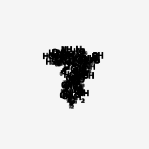 CSCC[C@H](NC(=O)[C@H](CO)NC(=O)[C@H](CCCNC(=N)N)NC(=O)[C@H](CO)NC(=O)[C@H](CCC(=O)O)NC(=O)[C@@H](NC(=O)[C@@H](NC(=O)[C@H](Cc1c[nH]cn1)NC(=O)[C@@H](NC(=O)[C@H](CO)NC(=O)[C@@H](N)CC(C)C)[C@@H](C)O)[C@@H](C)O)[C@@H](C)O)C(=O)N[C@H](C(=O)N[C@@H](CS)C(=O)O)C(C)C